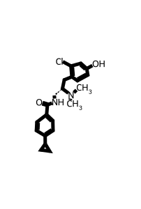 CN(C)[C@H](CNC(=O)c1ccc(C2CC2)cc1)Cc1ccc(O)cc1Cl